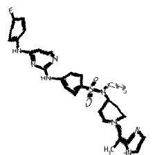 CC(c1ncc[nH]1)N1CCC(N(C)S(=O)(=O)c2ccc(Nc3nccc(Nc4ccc(F)cc4)n3)cc2)CC1